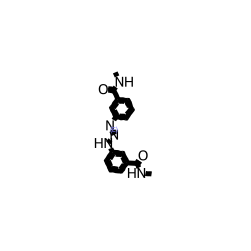 CNC(=O)c1cccc(/N=N/Nc2cccc(C(=O)NC)c2)c1